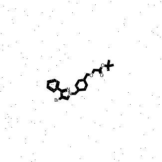 CC(C)(C)OC(=O)COCC1CCC(Cn2cc(Br)c(-c3ccccc3)n2)CC1